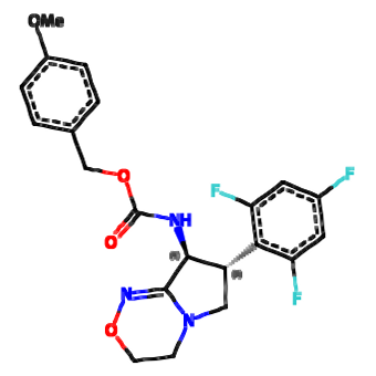 COc1ccc(COC(=O)N[C@@H]2C3=NOCCN3C[C@H]2c2c(F)cc(F)cc2F)cc1